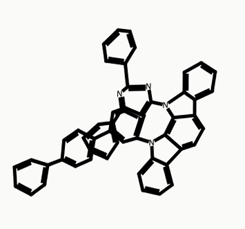 c1ccc(-c2ccc(-c3cccc(-n4c5ccccc5c5ccc6c7ccccc7n(-c7nc(-c8ccccc8)nc(-c8ccccc8)n7)c6c54)c3)cc2)cc1